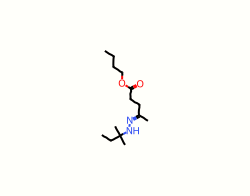 CCCCOC(=O)CCC(C)=NNC(C)(C)CC